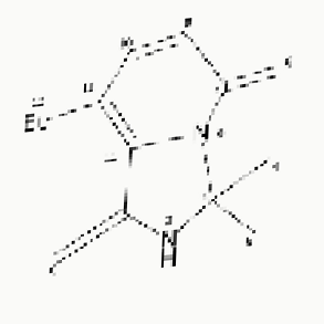 C=C1NC(C)(C)N2C(=C)C=CC(CC)=C12